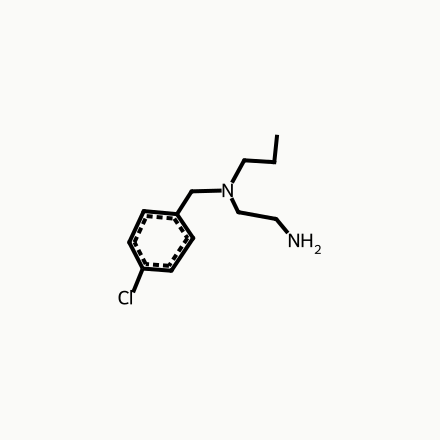 CCCN(CCN)Cc1ccc(Cl)cc1